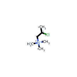 CC(Cl)C[N+](C)(C)C